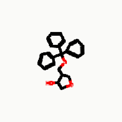 OC1COCC1COC(c1ccccc1)(c1ccccc1)c1ccccc1